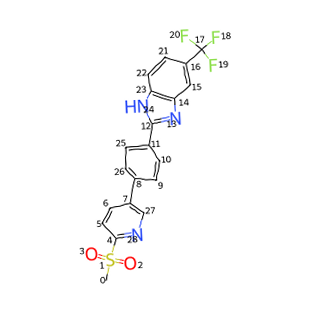 CS(=O)(=O)c1ccc(-c2ccc(-c3nc4cc(C(F)(F)F)ccc4[nH]3)cc2)cn1